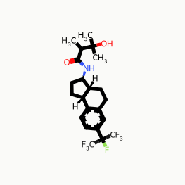 CC(C(=O)N[C@@H]1CC[C@H]2c3ccc(C(F)(C(F)(F)F)C(F)(F)F)cc3CC[C@@H]12)C(C)(C)O